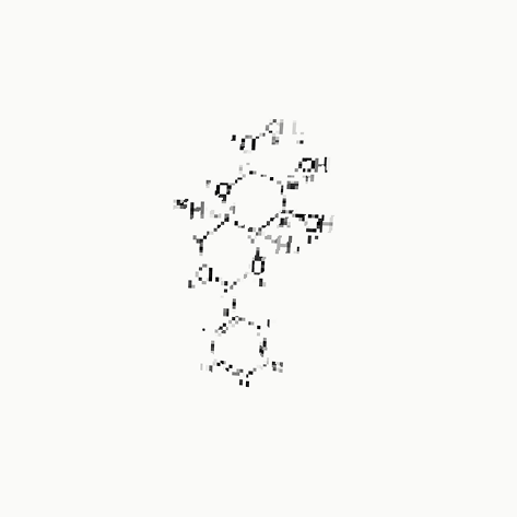 CO[C@H]1O[C@@H]2COC(c3ccccc3)O[C@@H]2[C@H](O)[C@H]1O